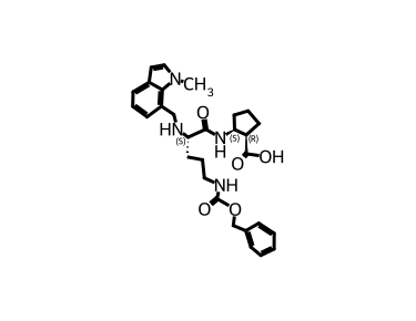 Cn1ccc2cccc(CN[C@@H](CCCNC(=O)OCc3ccccc3)C(=O)N[C@H]3CCC[C@H]3C(=O)O)c21